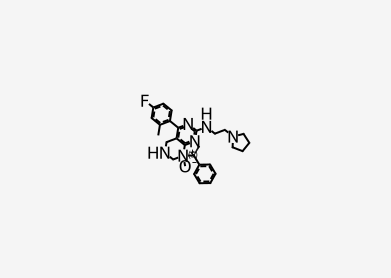 Cc1cc(F)ccc1-c1nc(NCCN2CCCC2)nc2c1CNC[N+]2([O-])[C@@H](C)c1ccccc1